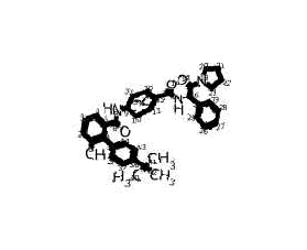 Cc1cccc(C(=O)NC23CCC(C(=O)N[C@H](C(=O)N4CCCC4)c4ccccc4)(CC2)CC3)c1-c1ccc(C(C)(C)C)cc1